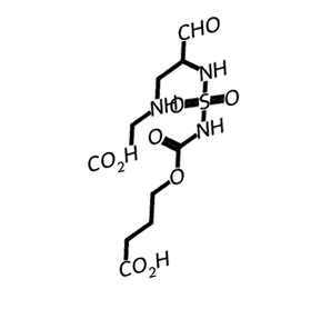 O=CC(CNCC(=O)O)NS(=O)(=O)NC(=O)OCCCC(=O)O